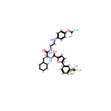 O=C(N[C@@H](CC1CCCCC1)C(=O)NCCNc1ccc(OC(F)F)cc1)c1ccc(-c2cccc(C(F)(F)F)c2)o1